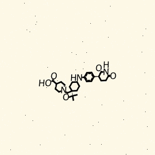 CC(C)(C)[C@]1(C(=O)N2CCC(C(=O)O)CC2)CC[C@H](Nc2ccc([C@@H]3CCC(=O)NC3=O)cc2)CC1